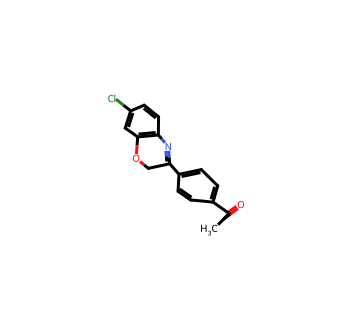 CC(=O)c1ccc(C2=Nc3ccc(Cl)cc3OC2)cc1